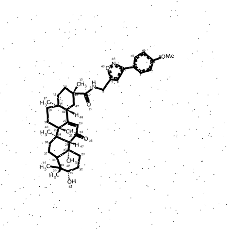 COc1ccc(-c2cc(CNC(=O)[C@@]3(C)CC[C@]4(C)CC[C@]5(C)C(=CC(=O)[C@@H]6[C@@]7(C)CC[C@H](O)C(C)(C)C7CC[C@]65C)[C@H]4C3)on2)cc1